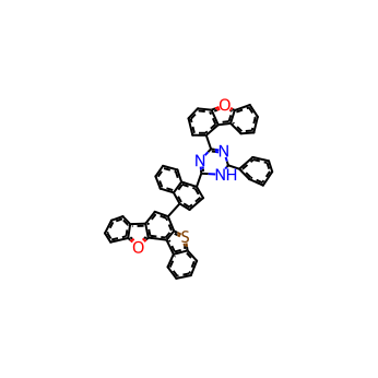 c1ccc(C2N=C(c3cccc4oc5ccccc5c34)N=C(c3ccc(-c4cc5c6ccccc6oc5c5c4sc4ccccc45)c4ccccc34)N2)cc1